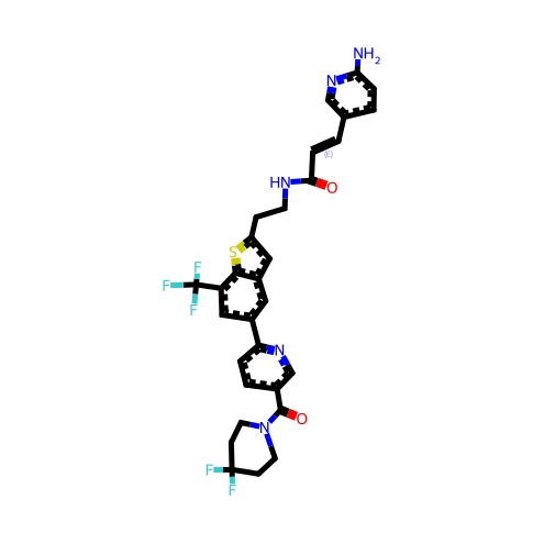 Nc1ccc(/C=C/C(=O)NCCc2cc3cc(-c4ccc(C(=O)N5CCC(F)(F)CC5)cn4)cc(C(F)(F)F)c3s2)cn1